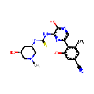 Cc1cc(C#N)cc(O)c1-c1cnc(O)c(NC(=S)N[C@@H]2C[C@H](O)CN(C)C2)n1